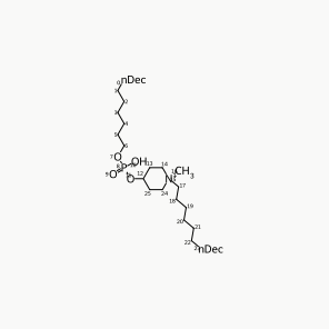 CCCCCCCCCCCCCCCCOP(=O)(O)OC1CC[N+](C)(CCCCCCCCCCCCCCCC)CC1